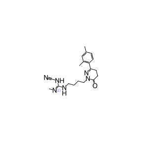 C/N=C(\NC#N)NCCCCN1N=C(c2ccc(C)cc2C)CCC1=O